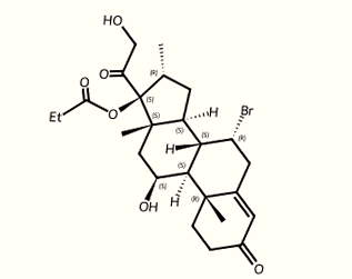 CCC(=O)O[C@@]1(C(=O)CO)[C@H](C)C[C@H]2[C@H]3[C@H]([C@@H](O)C[C@@]21C)[C@@]1(C)CCC(=O)C=C1C[C@H]3Br